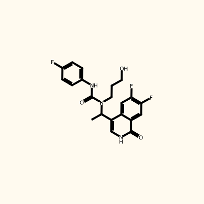 CC(c1c[nH]c(=O)c2cc(F)c(F)cc12)N(CCCO)C(=O)Nc1ccc(F)cc1